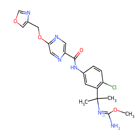 CO/C(N)=N\C(C)(C)c1cc(NC(=O)c2cnc(OCc3cocn3)cn2)ccc1Cl